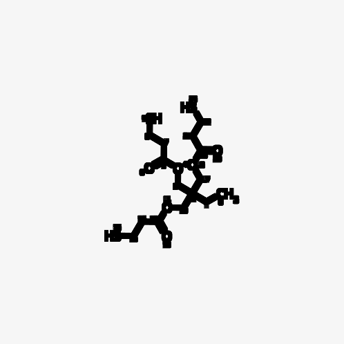 CCC(COC(=O)CCS)(COC(=O)CCS)COC(=O)CCS